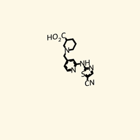 N#Cc1cnc(Nc2cc(CN3CCCC(C(=O)O)C3)ccn2)s1